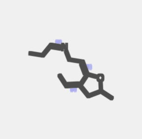 C/C=C1/CC(C)O/C1=C/C/N=C\CC